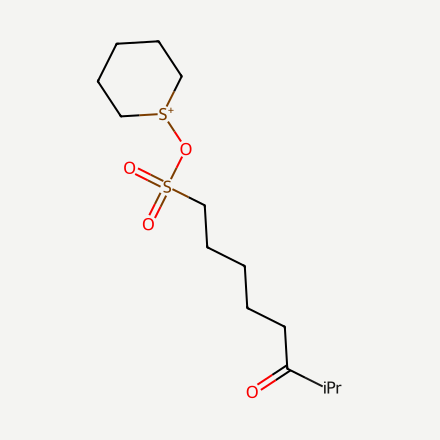 CC(C)C(=O)CCCCCS(=O)(=O)O[S+]1CCCCC1